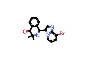 CC1(C)N=C(c2cnc3c(Br)cccn23)c2ccccc2C1=O